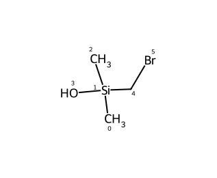 C[Si](C)(O)CBr